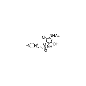 CC(=O)Nc1cc(O)c(NS(=O)(=O)CCC[N+]2(C)CCN(C)CC2)cc1Cl